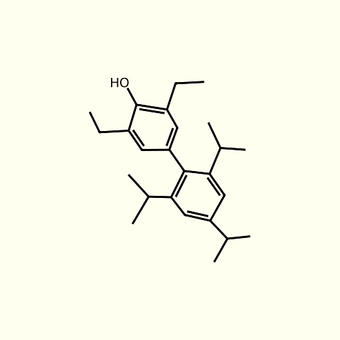 CCc1cc(-c2c(C(C)C)cc(C(C)C)cc2C(C)C)cc(CC)c1O